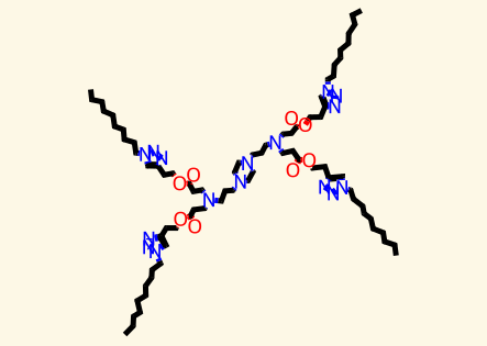 CCCCCCCCCCn1cc(CCOC(=O)CCN(CCCN2CCN(CCCN(CCC(=O)OCCc3cn(CCCCCCCCCC)nn3)CCC(=O)OCCc3cn(CCCCCCCCCC)nn3)CC2)CCC(=O)OCCc2cn(CCCCCCCCCC)nn2)nn1